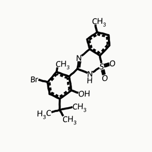 Cc1ccc2c(c1)N=C(c1c(C)c(Br)cc(C(C)(C)C)c1O)NS2(=O)=O